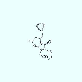 CC(C)C1C(=O)N(C(CS)Cc2ccccc2)C(=O)N1CC(=O)O